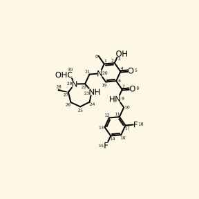 Cc1c(O)c(=O)c(C(=O)NCc2ccc(F)cc2F)cn1CC1NCCC[C@@H](C)N1C=O